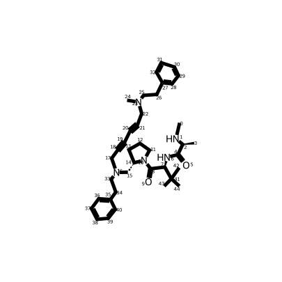 CN[C@@H](C)C(=O)N[C@H](C(=O)N1CCC[C@H]1CN(CC#CC#CCN(C)CCc1ccccc1)CCc1ccccc1)C(C)(C)C